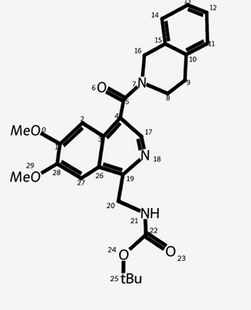 COc1cc2c(C(=O)N3CCc4ccccc4C3)cnc(CNC(=O)OC(C)(C)C)c2cc1OC